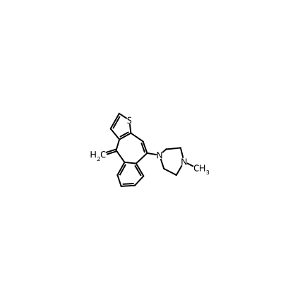 C=C1c2ccccc2C(N2CCN(C)CC2)=Cc2sccc21